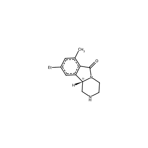 CCc1cc(C)c2c(c1)[C@H]1CNCCN1C2=O